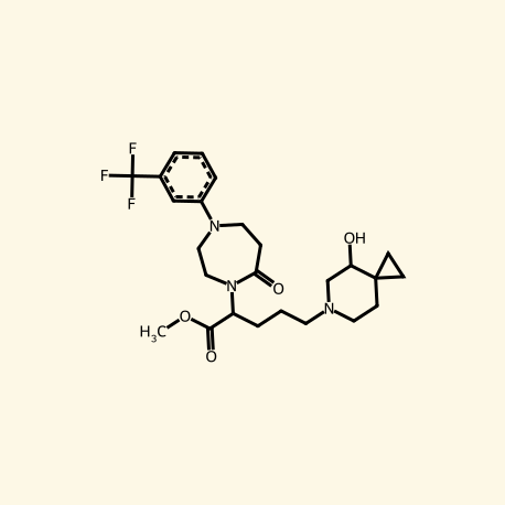 COC(=O)C(CCCN1CCC2(CC2)C(O)C1)N1CCN(c2cccc(C(F)(F)F)c2)CCC1=O